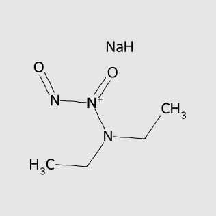 CCN(CC)[N+](=O)N=O.[NaH]